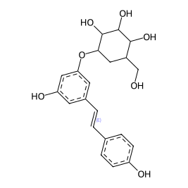 OCC1CC(Oc2cc(O)cc(/C=C/c3ccc(O)cc3)c2)C(O)C(O)C1O